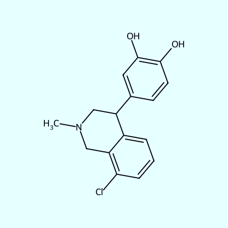 CN1Cc2c(Cl)cccc2C(c2ccc(O)c(O)c2)C1